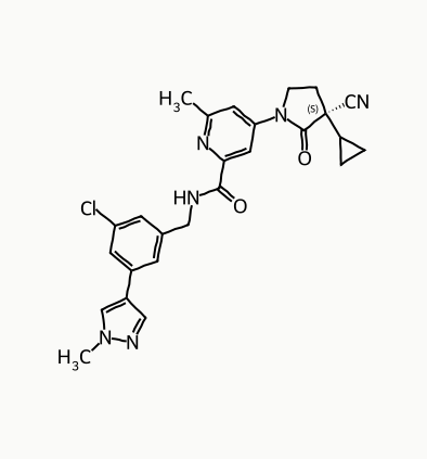 Cc1cc(N2CC[C@@](C#N)(C3CC3)C2=O)cc(C(=O)NCc2cc(Cl)cc(-c3cnn(C)c3)c2)n1